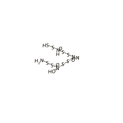 CN(C)CCN(CCCSCCCSCCC(=O)NCCCSCCCS)C(=O)CCSCCCSCCCN(CCO)C(=O)CCSCCCSCCCN